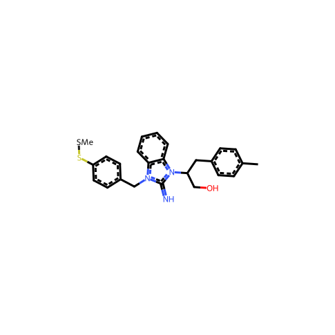 CSSc1ccc(Cn2c(=N)n(C(CO)Cc3ccc(C)cc3)c3ccccc32)cc1